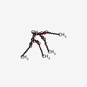 CCCCCCCCCCCCCCOc1ccc(COc2ccc(COc3cc(CO)cc(OCc4ccc(OCc5ccc(OCCCCCCCCCCCCCC)cc5)c(OCc5ccc(OCCCCCCCCCCCCCC)cc5)c4)c3)cc2OCc2ccc(OCCCCCCCCCCCCCC)cc2)cc1